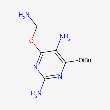 CC(C)COc1nc(N)nc(OCN)c1N